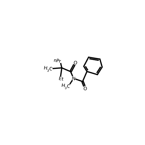 CCCC(C)(CC)C(=O)N(C)C(=O)c1ccccc1